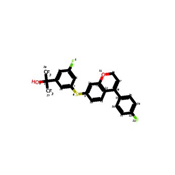 OC(c1cc(F)cc(Sc2ccc3c(c2)OCC=C3c2ccc(F)cc2)c1)(C(F)(F)F)C(F)(F)F